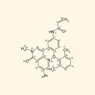 C=CC(=O)Nc1ccc(Oc2c(C)cccc2C)c(-c2cn(C)c(=O)c3cc(C(C)C)cnc23)c1